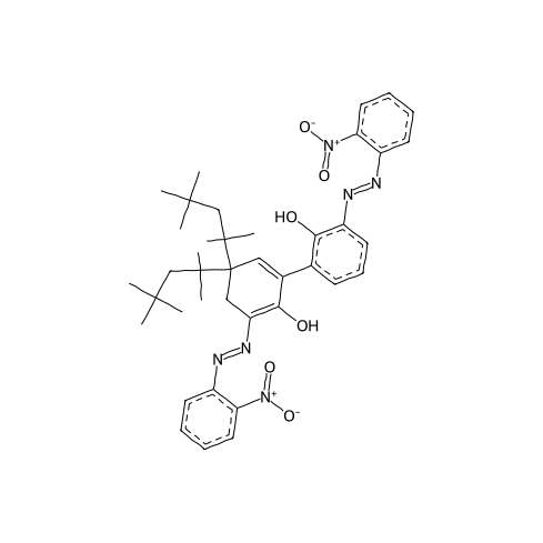 CC(C)(C)CC(C)(C)C1(C(C)(C)CC(C)(C)C)C=C(c2cccc(N=Nc3ccccc3[N+](=O)[O-])c2O)C(O)=C(N=Nc2ccccc2[N+](=O)[O-])C1